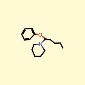 CCCCC(Oc1ccccc1)N1CCCCC1